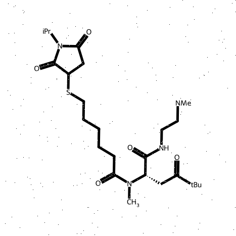 CNCCNC(=O)[C@H](CC(=O)C(C)(C)C)N(C)C(=O)CCCCCSC1CC(=O)N(C(C)C)C1=O